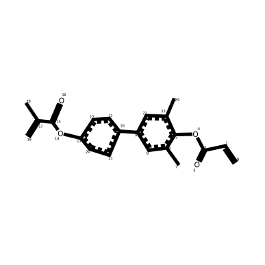 C=CC(=O)Oc1c(C)cc(-c2ccc(OC(=O)C(=C)C)cc2)cc1C